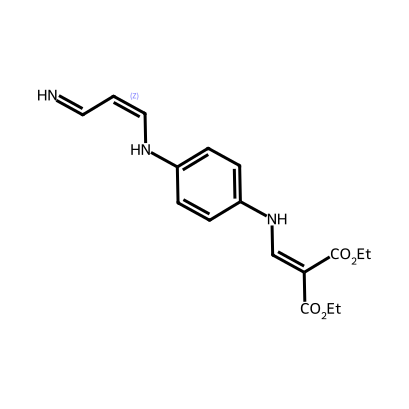 CCOC(=O)C(=CNc1ccc(N/C=C\C=N)cc1)C(=O)OCC